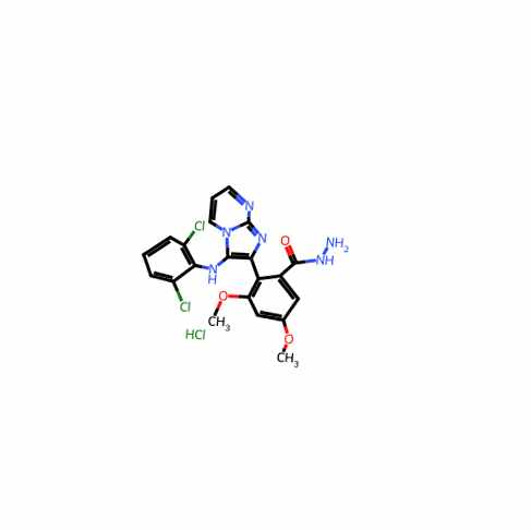 COc1cc(OC)c(-c2nc3ncccn3c2Nc2c(Cl)cccc2Cl)c(C(=O)NN)c1.Cl